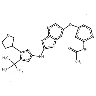 CC(=O)Nc1cc(Oc2cnc3nc(Nc4cc(C(C)(C)C)n(C5CCOC5)n4)sc3c2)ccn1